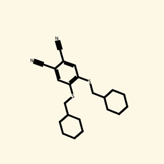 N#Cc1cc(SCC2CCCCC2)c(SCC2CCCCC2)cc1C#N